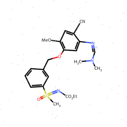 CCOC(=O)N=S(C)(=O)c1cccc(COc2cc(/N=C\N(C)C)c(C#N)cc2OC)c1